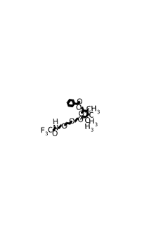 CC1[C@@H](OCCOCCOCCNC(=O)C(F)(F)F)OC(COC(=O)c2ccccc2)[C@@H](C)[C@@H]1C